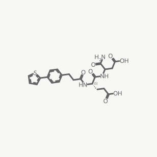 NC(=O)C(CC(=O)O)NC(=O)[C@H](CCC(=O)O)NC(=O)CCc1ccc(-c2cccs2)cc1